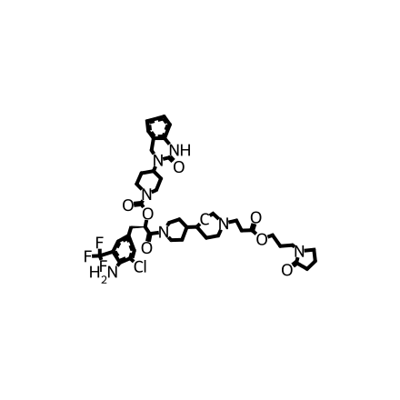 Nc1c(Cl)cc(C[C@@H](OC(=O)N2CCC(N3Cc4ccccc4NC3=O)CC2)C(=O)N2CCC(C3CCN(CCC(=O)OCCCN4CCCC4=O)CC3)CC2)cc1C(F)(F)F